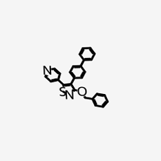 c1ccc(COc2nsc(-c3ccncc3)c2-c2ccc(-c3ccccc3)cc2)cc1